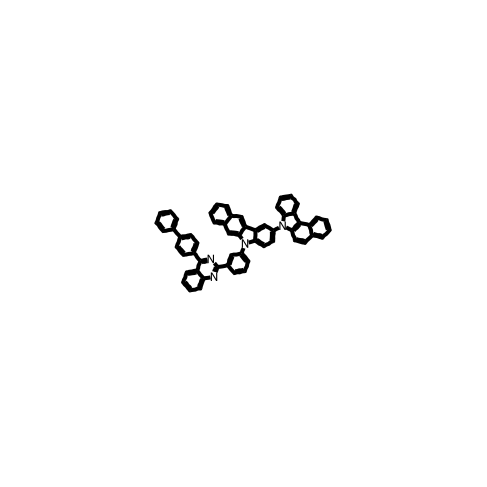 c1ccc(-c2ccc(-c3nc(-c4cccc(-n5c6ccc(-n7c8ccccc8c8c9ccccc9ccc87)cc6c6cc7ccccc7cc65)c4)nc4ccccc34)cc2)cc1